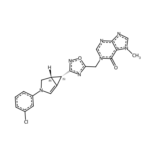 Cn1cnc2ncn(Cc3nc([C@@H]4C5=CN(c6cccc(Cl)c6)C[C@@H]54)no3)c(=O)c21